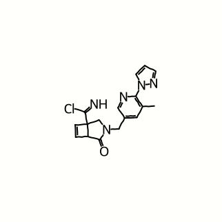 Cc1cc(CN2CC3(C(=N)Cl)C=CC3C2=O)cnc1-n1cccn1